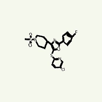 CS(=O)(=O)N1CCC(c2nc(-c3ccc(F)cc3)oc2Sc2ccc(Cl)cn2)CC1